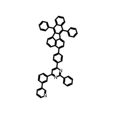 c1ccc(-c2nc(-c3ccc(-c4ccc5c6c(cccc46)-c4c-5c(-c5ccccc5)c5ccccc5c4-c4ccccc4)cc3)cc(-c3cccc(-c4cccnc4)c3)n2)cc1